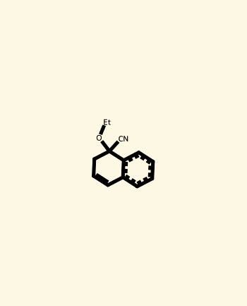 CCOC1(C#N)CC=Cc2ccccc21